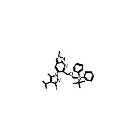 Cc1c(C(C)C)c(I)nn1-c1cc2cn(C)nc2nc1COCS(c1ccccc1)(c1ccccc1)C(C)(C)C